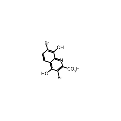 O=C(O)c1nc2c(O)c(Br)ccc2c(O)c1Br